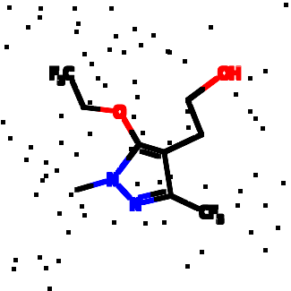 Cn1nc(C(F)(F)F)c(CCO)c1OCC(F)(F)F